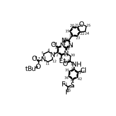 CCc1c(N2CCN(C(=O)OC(C)(C)C)CC2)c(=O)n2nc(-c3ccc4c(c3)CCO4)nc2n1CC(=O)Nc1ccc(SC(F)F)cc1Cl